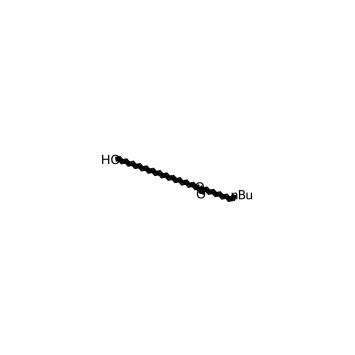 CCCC/C=C\CCCCCCCC(=O)OCCCCCCCCCCCCCCCCCCCCCCCCO